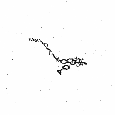 C#CC(F)(F)[C@]1(O)CC[C@H]2[C@@H]3CCC4=CC(=NOCCOCCOCCOC)CCC4=C3[C@@H](c3ccc(C4CC4)cc3)C[C@@]21C